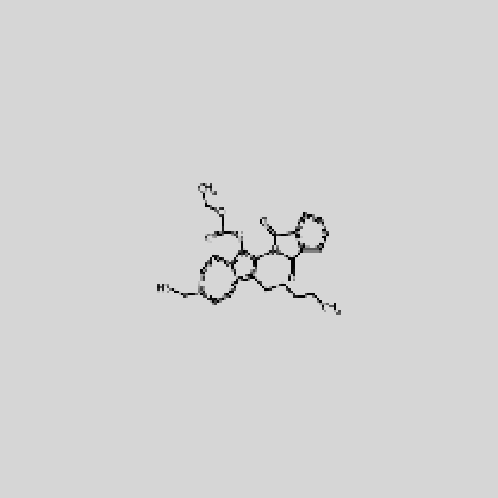 CCCCCc1c2ccc(CS)ccc-2c(OC(=O)OCC)c1N1C(=O)c2ccccc2C1=O